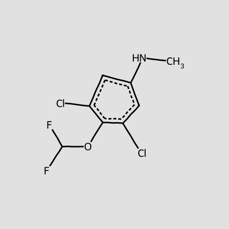 CNc1cc(Cl)c(OC(F)F)c(Cl)c1